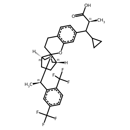 C[C@H](C(=O)O)C(c1ccc2c(c1)OC1(CC2)[C@@H]2CC[C@@H]1CN([C@H](C)c1cc(C(F)(F)F)ccc1C(F)(F)F)C2)C1CC1